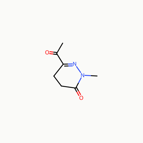 CC(=O)C1=NN(C)C(=O)CC1